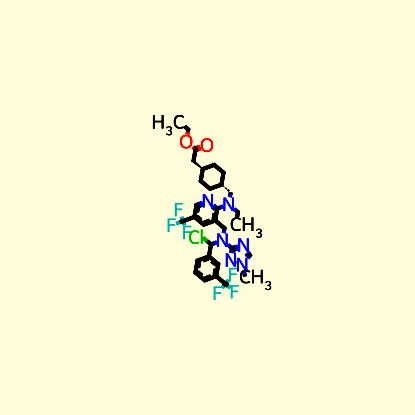 CCOC(=O)C[C@H]1CC[C@H](CN(CC)c2ncc(C(F)(F)F)cc2CN(c2ncn(C)n2)C(Cl)c2cccc(C(F)(F)F)c2)CC1